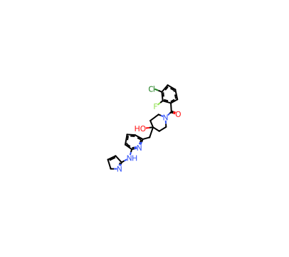 O=C(c1cccc(Cl)c1F)N1CCC(O)(Cc2cccc(NC3=NCC=C3)n2)CC1